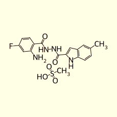 CS(=O)(=O)O.Cc1ccc2[nH]c(C(=O)NNC(=O)c3ccc(F)cc3N)cc2c1